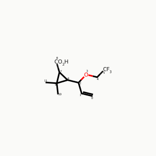 C=CC(OCC(F)(F)F)C1C(C(=O)O)C1(C)C